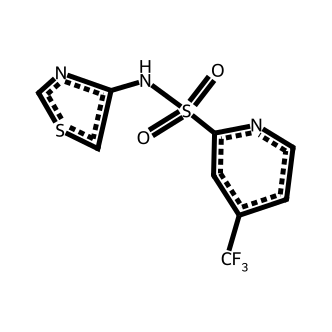 O=S(=O)(Nc1cscn1)c1cc(C(F)(F)F)ccn1